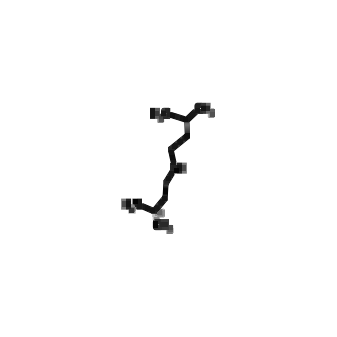 CC(C)CCNCC[C@H](C)N